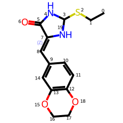 CCSC1NC(=O)/C(=C/c2ccc3c(c2)OCCO3)N1